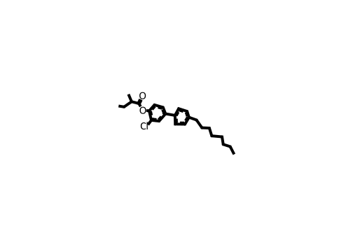 CCCCCCCCc1ccc(-c2ccc(OC(=O)C(C)CC)c(Cl)c2)cc1